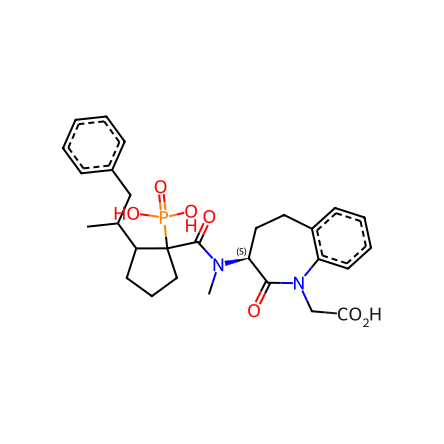 CC(Cc1ccccc1)C1CCCC1(C(=O)N(C)[C@H]1CCc2ccccc2N(CC(=O)O)C1=O)P(=O)(O)O